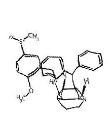 COc1ccc([S+](C)[O-])cc1CN[C@H]1C2CCN(CC2)[C@H]1C(c1ccccc1)c1ccccc1